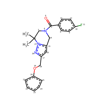 CC1(C)CN(C(=O)c2ccc(F)cc2)Cc2cc(COc3ccccc3)nn21